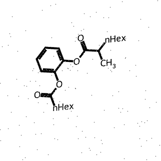 CCCCCCC(=O)Oc1ccccc1OC(=O)C(C)CCCCCC